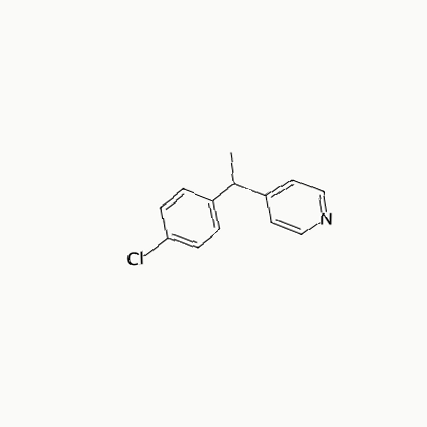 CC(c1ccncc1)c1ccc(Cl)cc1